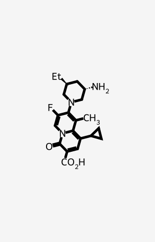 CC[C@H]1C[C@H](N)CN(c2c(F)cn3c(=O)c(C(=O)O)cc(C4CC4)c3c2C)C1